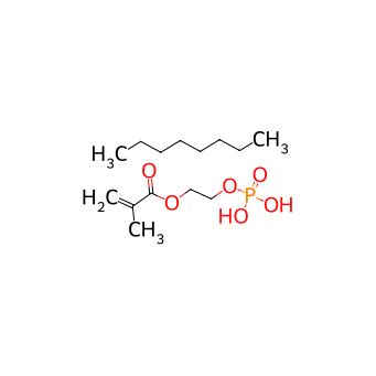 C=C(C)C(=O)OCCOP(=O)(O)O.CCCCCCCC